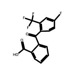 O=C(O)c1ccccc1C(=O)c1ccc(F)cc1C(F)(F)F